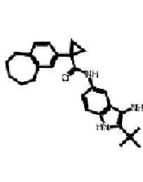 CC(C)(C)c1[nH]c2ccc(NC(=O)C3(c4ccc5c(c4)CCCCC5)CC3)cc2c1N